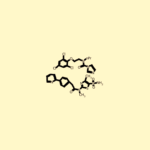 CCCN(CCOc1c(Cl)cc(Cl)cc1Cl)C(=O)n1ccnc1.Cc1nc(N(C)C(=O)Cc2ccc(-c3ccccn3)cc2)sc1S(N)(=O)=O